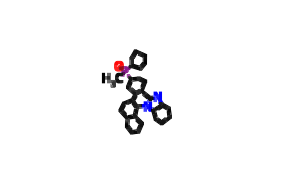 CP(=O)(c1ccccc1)c1ccc2c(c1)c1ccc3ccccc3c1n1c3ccccc3nc21